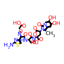 Cc1c2cc(O)c(O)cn2c(=O)n1C1CC(C(=O)O)(N2OC[C@H](NC(=O)/C(=N\OCC(=O)O)c3csc(N)n3)C2=O)OC1=O